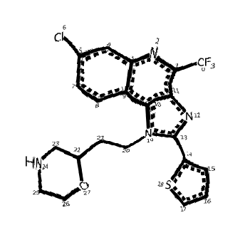 FC(F)(F)c1nc2cc(Cl)ccc2c2c1nc(-c1cccs1)n2CCC1CNCCO1